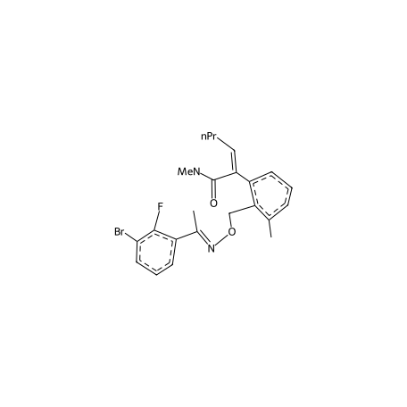 CCC/C=C(\C(=O)NC)c1cccc(C)c1CO/N=C(\C)c1cccc(Br)c1F